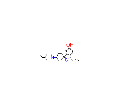 CCCCN(C)C1(c2cccc(O)c2)CCC(N2CCC(CC)CC2)CC1